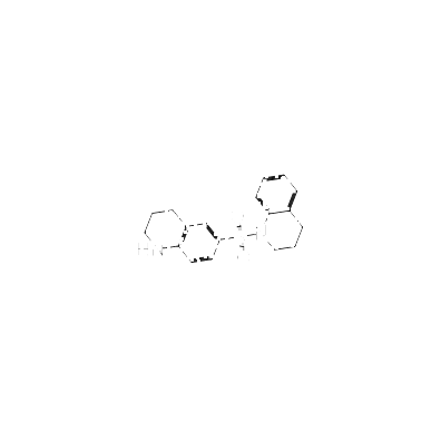 O=S(=O)(c1ccc2c(c1)CCCN2)N1CCCc2ccccc21